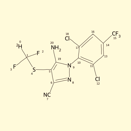 [2H]C(F)(F)Sc1c(C#N)nn(-c2c(Cl)cc(C(F)(F)F)cc2Cl)c1N